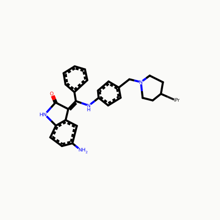 CC(C)C1CCN(Cc2ccc(NC(=C3C(=O)Nc4ccc(N)cc43)c3ccccc3)cc2)CC1